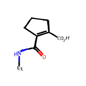 CCNC(=O)C1=C(C(=O)O)CCC1